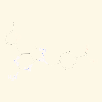 Cc1ccc(-c2nc(N)nc3c2cnn3Cc2ccc(C(=O)O)cc2)o1